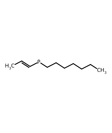 CC=C[P]CCCCCCC